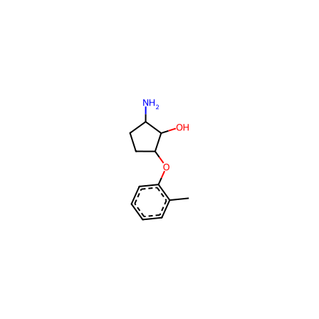 Cc1ccccc1OC1CCC(N)C1O